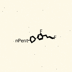 CCCCC[C@H]1CC[C@H](c2ccc(CCC=CF)c(F)c2)CC1